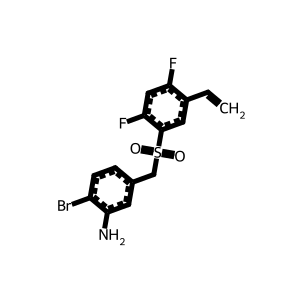 C=Cc1cc(S(=O)(=O)Cc2ccc(Br)c(N)c2)c(F)cc1F